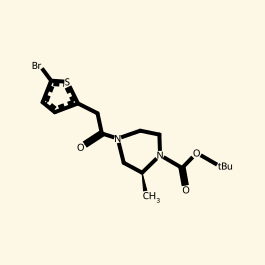 C[C@H]1CN(C(=O)Cc2ccc(Br)s2)CCN1C(=O)OC(C)(C)C